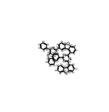 c1ccc(-c2nc(-c3cccc4oc5ccc(-c6nc(-c7ccccc7)c7sc8ccccc8c7n6)cc5c34)nc(-c3cccc4sc5ccccc5c34)n2)cc1